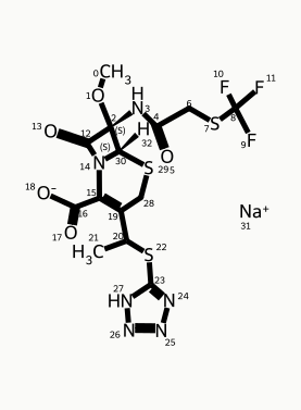 CO[C@@]1(NC(=O)CSC(F)(F)F)C(=O)N2C(C(=O)[O-])=C(C(C)Sc3nnn[nH]3)CS[C@H]21.[Na+]